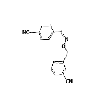 N#Cc1ccc(/[C]=N\OCc2cccc(C#N)c2)cc1